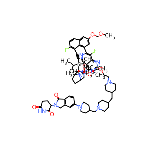 COCOc1cc(-c2ncc3c(N4CC5CCC(C4)N5C(=O)OC(C)(C)C)nc(OCCN4CCC(CC5CCN(CC6CCN(c7ccc8c(c7)CN(C7CCC(=O)NC7=O)C8=O)CC6)CC5)CC4)nc3c2F)c2c(C#C[Si](C(C)C)(C(C)C)C(C)C)c(F)ccc2c1